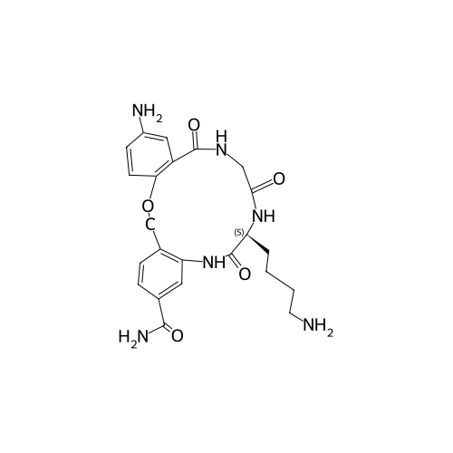 NCCCC[C@@H]1NC(=O)CNC(=O)c2cc(N)ccc2OCc2ccc(C(N)=O)cc2NC1=O